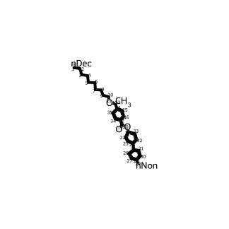 CCCCCCCCCCCCCCCCCCCCOC(C)c1ccc(C(=O)Oc2ccc(-c3ccc(CCCCCCCCC)cc3)cc2)cc1